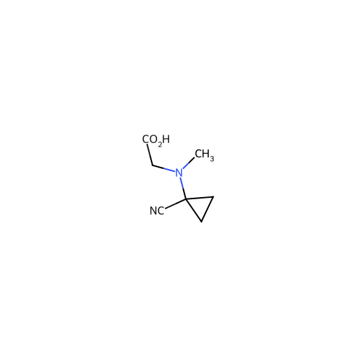 CN(CC(=O)O)C1(C#N)CC1